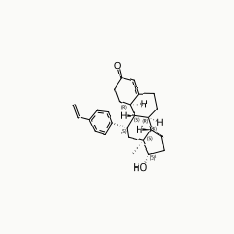 C=Cc1ccc([C@H]2C[C@]3(C)[C@@H](O)CC[C@H]3[C@@H]3CCC4=CC(=O)CC[C@@H]4[C@H]32)cc1